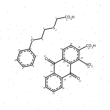 O=C(O)CSCCOc1ccccc1.O=C1c2ccccc2C(=O)c2c1ccc(C(=O)O)c2[N+](=O)[O-]